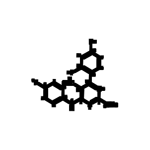 CSc1nc(Nc2ccc(F)cc2)c(C=O)c(-c2ccc(F)cc2F)n1